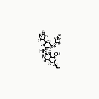 C#Cc1cc(OC)c2nc(Nc3cc(OC4CN(C)C4)cc(-c4cnn(C)c4)c3)ncc2c1